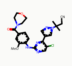 COc1cc(C(=O)N2CCOCC2)ccc1Nc1ncc(Cl)c(-c2cnn(C(C)(C)CC#N)c2)n1